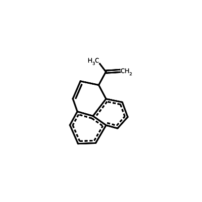 C=C(C)C1C=Cc2cccc3cccc1c23